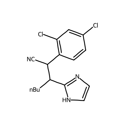 CCCCC(c1ncc[nH]1)C(C#N)c1ccc(Cl)cc1Cl